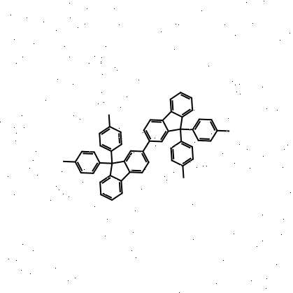 Cc1ccc(C2(c3ccc(C)cc3)c3ccccc3-c3ccc(-c4ccc5c(c4)C(c4ccc(C)cc4)(c4ccc(C)cc4)c4ccccc4-5)cc32)cc1